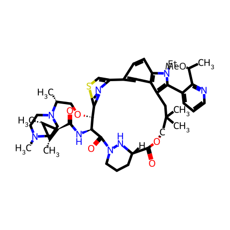 CCn1c(-c2cccnc2[C@H](C)OC)c2c3cc(ccc31)-c1csc(n1)[C@@H](OC[C@@H](C)N1CCN(C)CC1)[C@H](NC(=O)[C@H]1[C@H](C)[C@@H]1C)C(=O)N1CCC[C@H](N1)C(=O)OCC(C)(C)C2